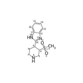 CS(=O)(=O)C1CNCCC1c1nc2ccccc2[nH]1